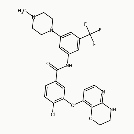 CN1CCN(c2cc(NC(=O)c3ccc(Cl)c(Oc4ccnc5c4OCCN5)c3)cc(C(F)(F)F)c2)CC1